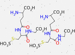 NC(CCC(=O)NC(CSS(=O)(=O)O)C(=O)NCC(=O)O)C(=O)O.NC(CCC(=O)NC(CSS(=O)(=O)O)C(=O)NCC(=O)O)C(=O)O